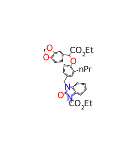 CCCc1cc(Cn2c(=O)n(C(=O)OCC)c3ccccc32)ccc1OC(C(=O)OCC)c1ccc2c(c1)OCO2